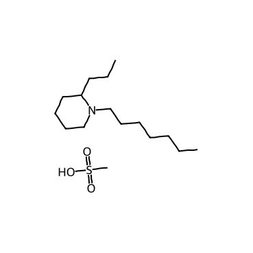 CCCCCCCN1CCCCC1CCC.CS(=O)(=O)O